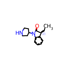 C/C=C1\C(=O)N(C2CCNCC2)c2ccccc21